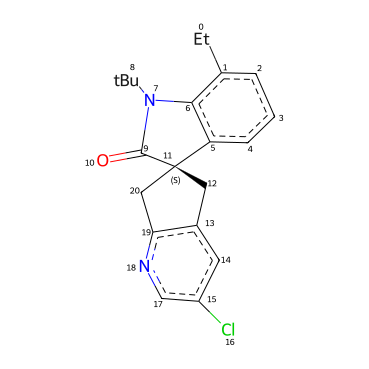 CCc1cccc2c1N(C(C)(C)C)C(=O)[C@]21Cc2cc(Cl)cnc2C1